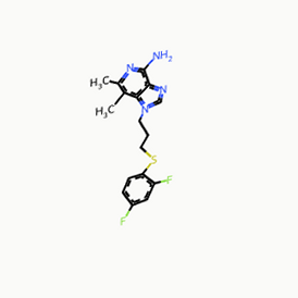 Cc1nc(N)c2ncn(CCCSc3ccc(F)cc3F)c2c1C